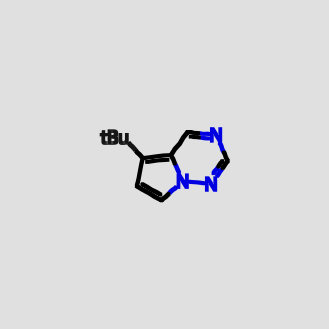 CC(C)(C)c1ccn2ncncc12